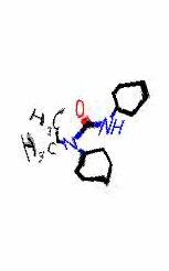 CC(C)N(C(=O)NC1CCCCC1)C1CCCCC1